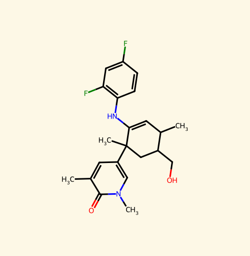 Cc1cc(C2(C)CC(CO)C(C)C=C2Nc2ccc(F)cc2F)cn(C)c1=O